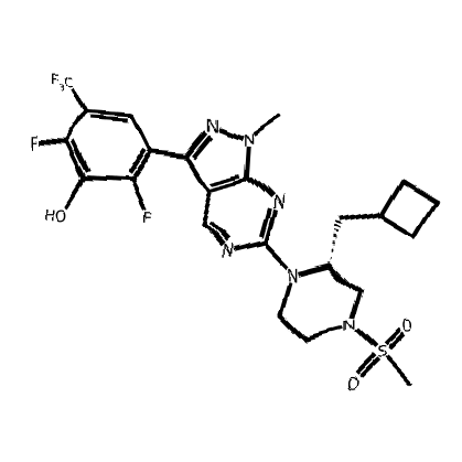 Cn1nc(-c2cc(C(F)(F)F)c(F)c(O)c2F)c2cnc(N3CCN(S(C)(=O)=O)C[C@H]3CC3CCC3)nc21